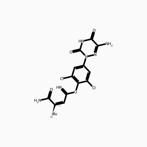 CC[C@H](C)/C(=C/C(=N)Oc1c(Cl)cc(-n2nc(N)c(=O)[nH]c2=O)cc1Cl)C(N)=O